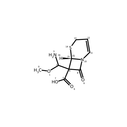 COC(N)C1(C(=O)O)C(=O)N2C=CCS[C@H]21